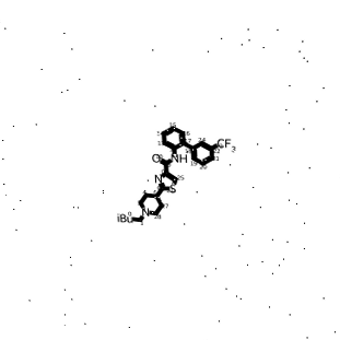 CCC(C)CN1CCC(c2nc(C(=O)Nc3ccccc3-c3cccc(C(F)(F)F)c3)cs2)CC1